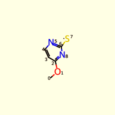 COc1ccnc([S])n1